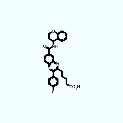 O=C(O)CCCCc1nc2cc(C(=O)NC3CCOc4ccccc43)ccc2nc1-c1ccc(Cl)cc1